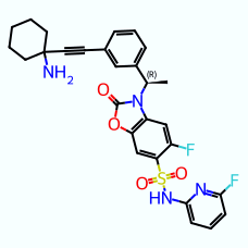 C[C@H](c1cccc(C#CC2(N)CCCCC2)c1)n1c(=O)oc2cc(S(=O)(=O)Nc3cccc(F)n3)c(F)cc21